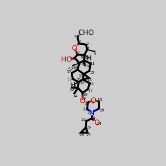 C[C@@H]1CC(CC=O)OC2[C@H]1C1(C)CCC34CC35CCC(O[C@H]3CN(C(=O)CC6CC6)CCO3)C(C)(C)[C@@H]5CCC4[C@]1(C)[C@H]2O